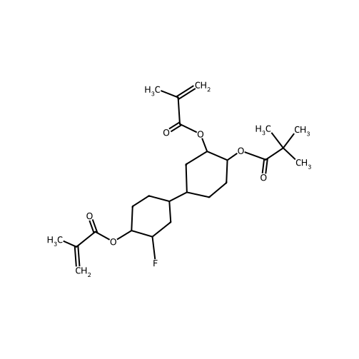 C=C(C)C(=O)OC1CCC(C2CCC(OC(=O)C(C)(C)C)C(OC(=O)C(=C)C)C2)CC1F